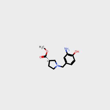 COC(=O)[C@H]1CCN(Cc2ccc(O)c(N)c2)C1